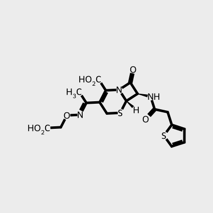 CC(=NOCC(=O)O)C1=C(C(=O)O)N2C(=O)[C@@H](NC(=O)Cc3cccs3)[C@@H]2SC1